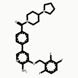 Nc1ncc(-c2ccc(C(=O)N3CCC(N4CCCC4)CC3)cc2)cc1OCc1c(F)ccc(F)c1F